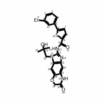 CCc1cccc(-c2ccc(C(=O)Nc3nc4cc5c(cc4n3CC(C)(C)O)OCC(=O)N5)s2)c1